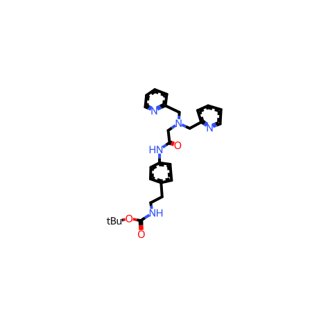 CC(C)(C)OC(=O)NCCc1ccc(NC(=O)CN(Cc2ccccn2)Cc2ccccn2)cc1